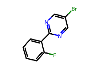 Fc1ccccc1-c1ncc(Br)cn1